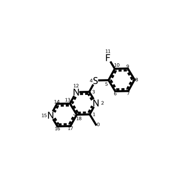 Cc1nc(Sc2ccccc2F)nc2cnccc12